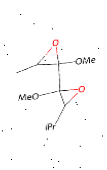 COC1(C2(OC)OC2C(C)C)OC1C